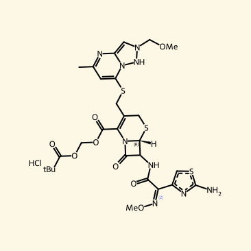 COCN1C=C2N=C(C)C=C(SCC3=C(C(=O)OCOC(=O)C(C)(C)C)N4C(=O)C(NC(=O)/C(=N\OC)c5csc(N)n5)[C@H]4SC3)N2N1.Cl